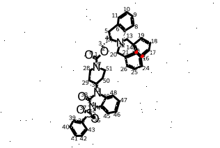 O=C(OC[C@H](Cc1ccccc1)N(Cc1ccccc1)Cc1ccccc1)N1CCC(n2c(=O)n(S(=O)(=O)c3ccccc3)c3ccccc32)CC1